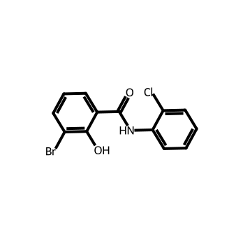 O=C(Nc1ccccc1Cl)c1cccc(Br)c1O